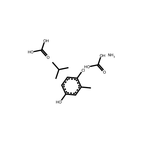 CC(C)C.Cc1cc(O)ccc1Cl.N.O=C(O)O.O=C(O)O